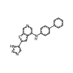 c1ccc(-c2ccc(Nc3cncc4sc(-c5cnn[nH]5)cc34)cc2)cc1